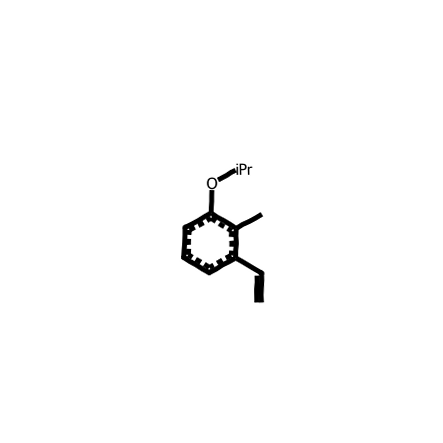 C=Cc1cccc(OC(C)C)c1C